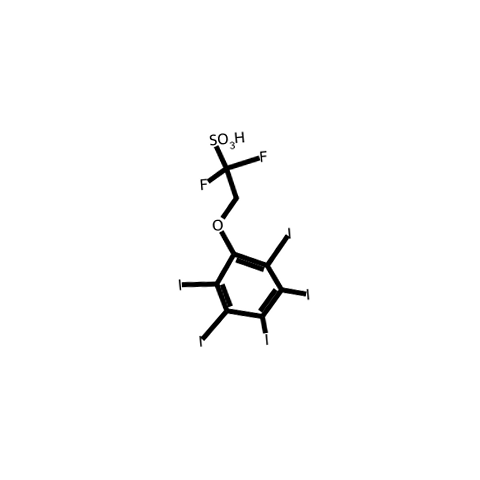 O=S(=O)(O)C(F)(F)COc1c(I)c(I)c(I)c(I)c1I